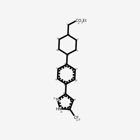 CCOC(=O)CC1CCC(c2ccc(-c3cc(C(F)(F)F)[nH]n3)cc2)CC1